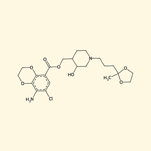 CC1(CCCN2CCC(COC(=O)c3cc(Cl)c(N)c4c3OCCO4)C(O)C2)OCCO1